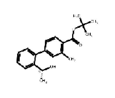 Cc1cc(-c2ccccc2[C@@H](C)O)ccc1C(=O)OC(C)(C)C